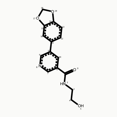 O=C(NCCO)c1cncc(-c2ccc3c(c2)OCO3)c1